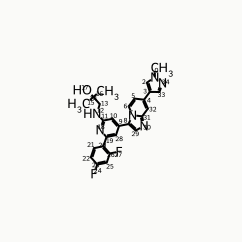 Cn1cc(-c2ccn3c(-c4cc(NCC(C)(C)O)nc(-c5ccc(F)cc5F)c4)cnc3c2)cn1